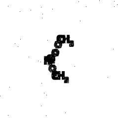 C=C[C@H]1CC[C@H](CC(F)(F)OCc2ccc([C@H]3CC[C@H](C)CC3)cc2)CC1